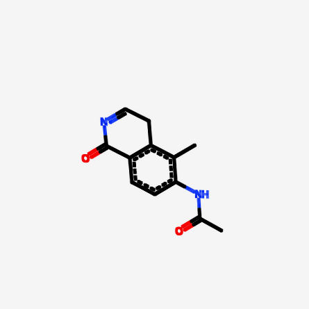 CC(=O)Nc1ccc2c(c1C)CC=NC2=O